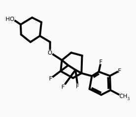 Cc1ccc(C23CCC(OCC4CCC(O)CC4)(CC2)C(F)C3(F)F)c(F)c1F